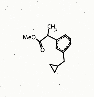 COC(=O)C(C)c1cccc(CC2CC2)c1